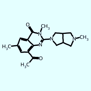 CC(=O)c1cc(C)cc2c(=O)n(C)c(N3CC4CN(C)CC4C3)nc12